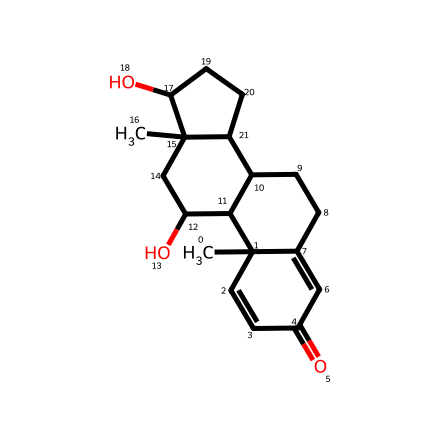 CC12C=CC(=O)C=C1CCC1C2C(O)CC2(C)C(O)CCC12